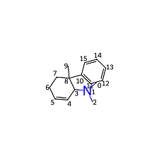 CN(C)C1C=CCCC1(C)c1ccccc1